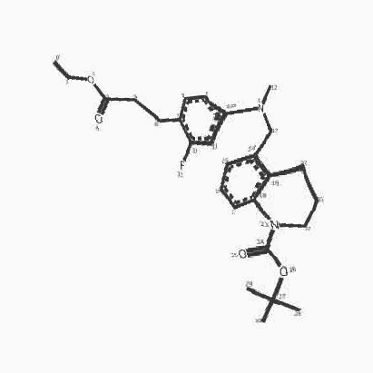 CCOC(=O)CCc1ccc(N(C)Cc2cccc3c2CCCN3C(=O)OC(C)(C)C)cc1F